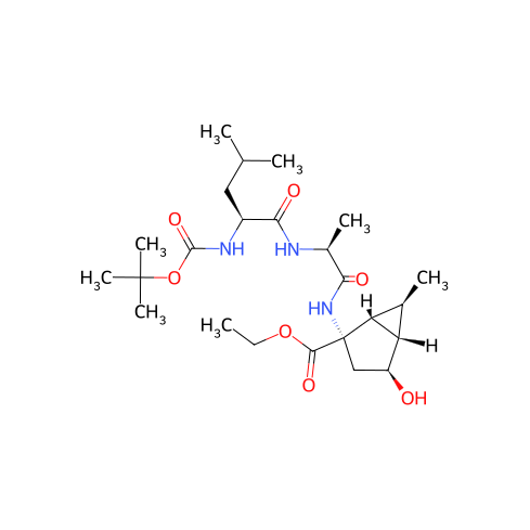 CCOC(=O)[C@]1(NC(=O)[C@H](C)NC(=O)[C@H](CC(C)C)NC(=O)OC(C)(C)C)C[C@H](O)[C@H]2[C@H](C)[C@H]21